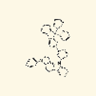 c1ccc(-n2ccc3c2ccc2c4ccccc4n(-c4cccc(-c5ccc6c(c5)C(c5ccccc5)(c5ccccc5)c5ccccc5-6)c4)c23)cc1